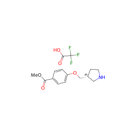 COC(=O)c1ccc(OC[C@@H]2CCNC2)cc1.O=C(O)C(F)(F)F